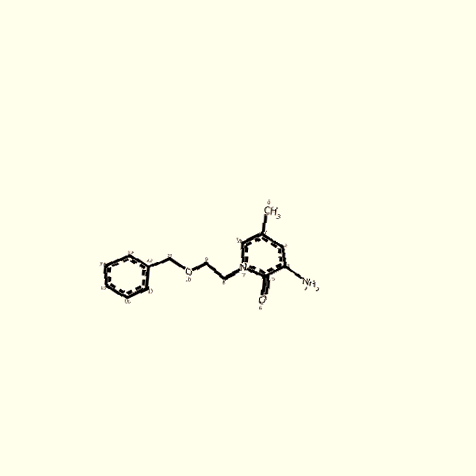 Cc1cc(N)c(=O)n(CCOCc2ccccc2)c1